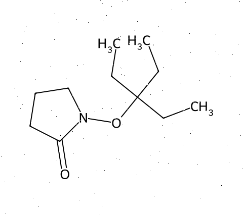 CCC(CC)(CC)ON1CCCC1=O